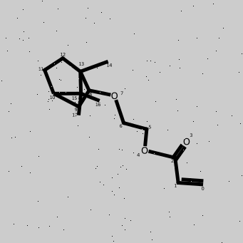 C=CC(=O)OCCOC1CC2CCC1(C)C2(C)C